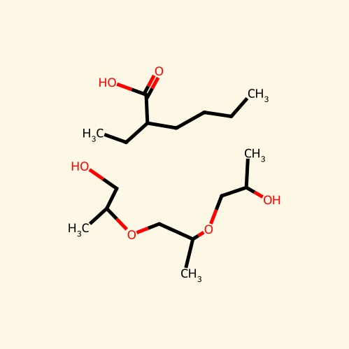 CC(O)COC(C)COC(C)CO.CCCCC(CC)C(=O)O